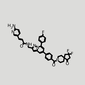 Nc1ccc(/C=C/C(=O)NCc2cc3cc(-c4ccc(C(=O)N5CCC6(CC5)CC(F)(F)CC6=O)cc4)cc(-c4ccc(F)cc4)n3n2)cn1